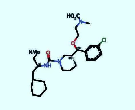 CNC[C@H](CC1CCCCC1)NC(=O)N1CCC[C@@H]([C@@H](OCCN(C)C(=O)O)c2cccc(Cl)c2)C1